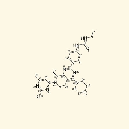 CCNC(=O)Nc1ccc(-c2nc3c(c(N4CCOCC4)n2)CCN(c2cc(C)nc(Cl)n2)[C@H]3C)cc1